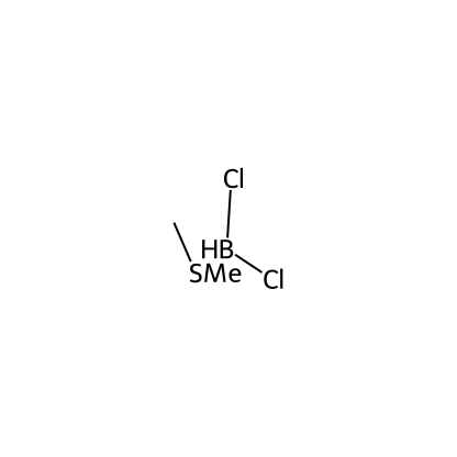 CSC.ClBCl